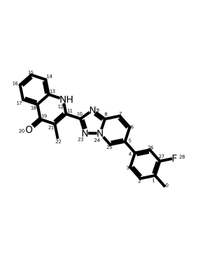 Cc1ccc(-c2ccc3nc(-c4[nH]c5ccccc5c(=O)c4C)nn3c2)cc1F